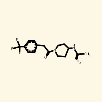 C=C(C)NC1CCN(C(=O)Cc2ccc(C(F)(F)F)cc2)CC1